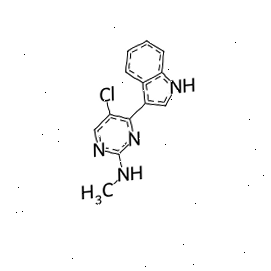 CNc1ncc(Cl)c(-c2c[nH]c3ccccc23)n1